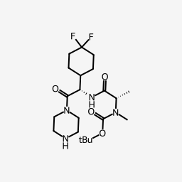 C[C@@H](C(=O)N[C@H](C(=O)N1CCNCC1)C1CCC(F)(F)CC1)N(C)C(=O)OC(C)(C)C